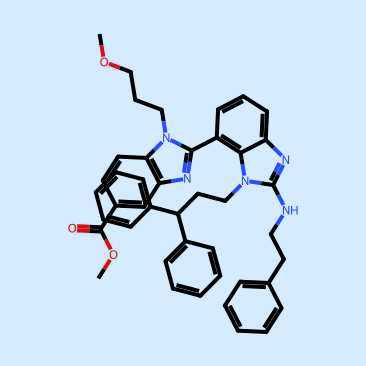 COCCCn1c(-c2cccc3nc(NCCc4ccccc4)n(CCC(c4ccccc4)c4ccccc4)c23)nc2cc(C(=O)OC)ccc21